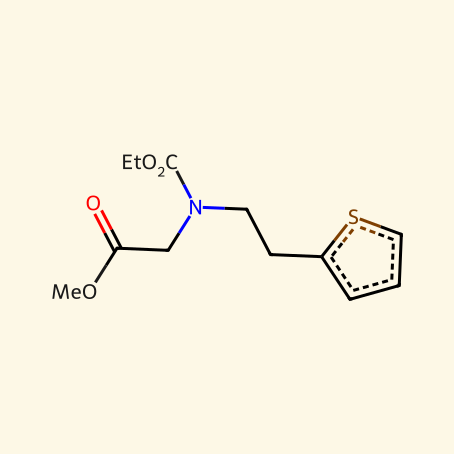 CCOC(=O)N(CCc1cccs1)CC(=O)OC